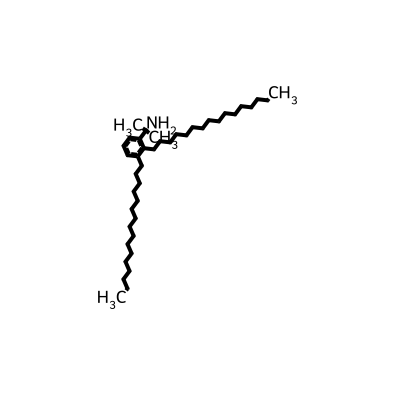 CCCCCCCCCCCCCCCCc1cccc(C(C)(C)N)c1CCCCCCCCCCCCCCCC